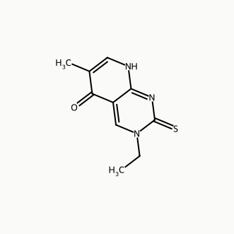 CCn1cc2c(=O)c(C)c[nH]c2nc1=S